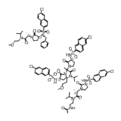 CC(=O)NCCN(C(=O)[C@H](C)N1CC[C@H](NS(=O)(=O)c2ccc3cc(Cl)ccc3c2)C1=O)C(C)C.COCCCN(C(=O)C(C)(N1CC[C@H](NS(=O)(=O)c2ccc3cc(Cl)ccc3c2)C1=O)N1CC[C@H](NS(=O)(=O)c2ccc3cc(Cl)ccc3c2)C1=O)C(C)C.COCCN(C(=O)[C@H](C)N1CC[C@H](N(Cc2ccccc2)S(=O)(=O)c2ccc3cc(Cl)ccc3c2)C1=O)C(C)C